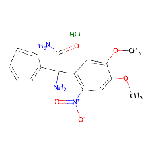 COc1cc([N+](=O)[O-])c(C(N)(C(N)=O)c2ccccc2)cc1OC.Cl